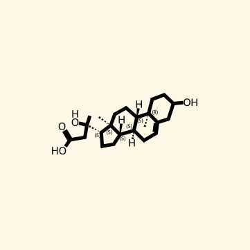 CC(O)(CC(=O)O)[C@H]1CC[C@H]2[C@@H]3CC=C4CC(O)CC[C@]4(C)[C@H]3CC[C@]12C